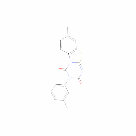 Cc1cccc(-n2c(=O)nc3sc4cc(C)ccc4n3c2=O)c1